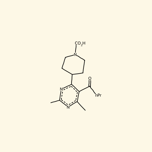 CCCC(=O)c1c(C)nc(C)nc1C1CCN(C(=O)O)CC1